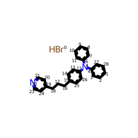 Br.c1ccc(N(c2ccccc2)c2ccc(CCCc3ccncc3)cc2)cc1